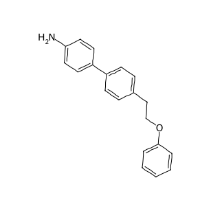 Nc1ccc(-c2ccc(CCOc3ccccc3)cc2)cc1